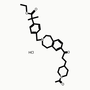 CCOC(=O)C(C)(C)c1ccc(CN2CCc3ccc(C(=O)CCC4CCN(C(C)=O)CC4)cc3CC2)cc1.Cl